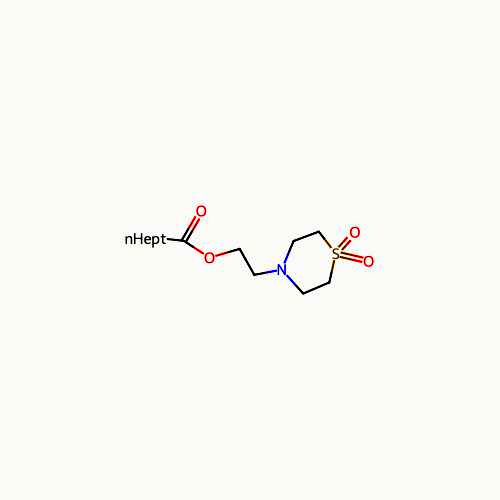 CCCCCCCC(=O)OCCN1CCS(=O)(=O)CC1